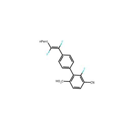 CCCCC/C(F)=C(\F)c1ccc(-c2c(C(=O)O)ccc(C#N)c2F)cc1